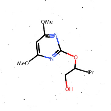 COc1cc(OC)nc(OC(CO)C(C)C)n1